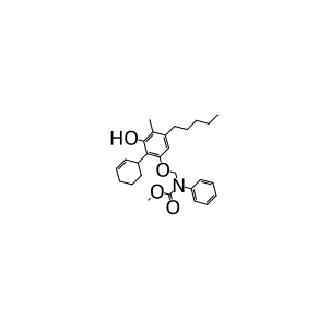 CCCCCc1cc(OCN(C(=O)OC)c2ccccc2)c(C2C=CCCC2)c(O)c1C